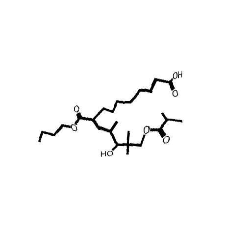 CCCCOC(=O)C(CCCCCCCC(=O)O)CC(C)C(O)C(C)(C)COC(=O)C(C)C